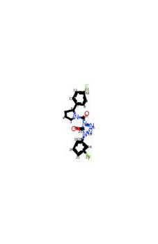 O=C(N1CCCC1c1ccc(F)cc1)n1nnn(-c2cccc(F)c2)c1=O